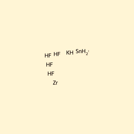 F.F.F.F.[KH].[SnH2].[Zr]